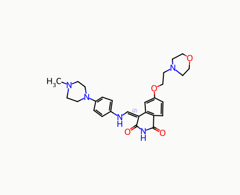 CN1CCN(c2ccc(N/C=C3\C(=O)NC(=O)c4ccc(OCCN5CCOCC5)cc43)cc2)CC1